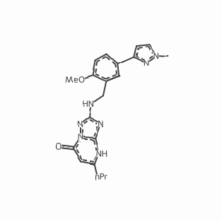 CCCc1cc(=O)n2nc(NCc3cc(-c4ccn(C)n4)ccc3OC)nc2[nH]1